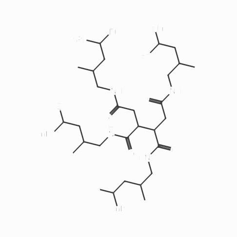 CCCC(CC)CC(C)CNC(=O)CC(C(=O)NCC(C)CC(CC)CCC)C(CC(=O)NCC(C)CC(CC)CCC)C(=O)NCC(C)CC(CC)CCC